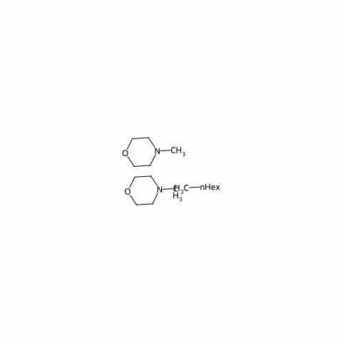 CCCCCCC.CN1CCOCC1.CN1CCOCC1